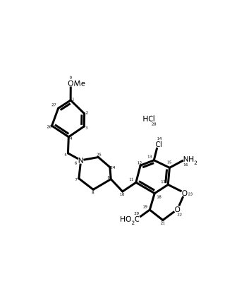 COc1ccc(CN2CCC(Cc3cc(Cl)c(N)c4c3C(C(=O)O)COO4)CC2)cc1.Cl